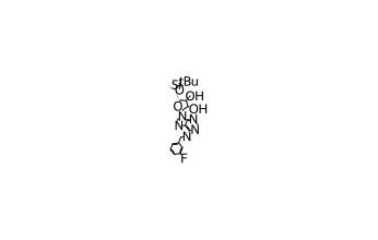 CN(Cc1cccc(F)c1)c1ncnc2c1ncn2[C@@H]1O[C@H](CO[Si](C)(C)C(C)(C)C)[C@@H](O)[C@H]1O